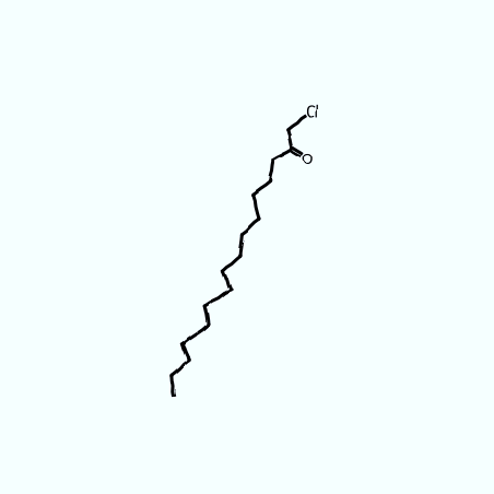 CCCCCCCCCCCCCCC(=O)CCl